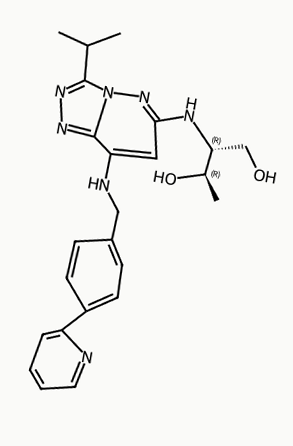 CC(C)c1nnc2c(NCc3ccc(-c4ccccn4)cc3)cc(N[C@H](CO)[C@@H](C)O)nn12